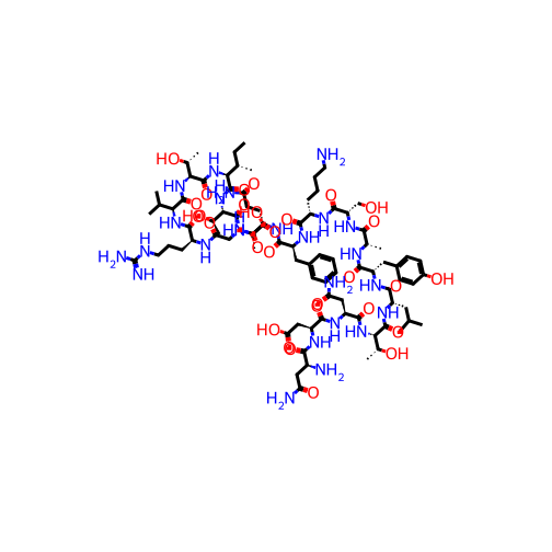 CC[C@H](C)[C@H](NC(=O)[C@@H](NC(=O)[C@@H](NC(=O)[C@H](CCCNC(=N)N)NC(=O)CNC(=O)[C@H](CCC(N)=O)NC(=O)[C@H](Cc1ccccc1)NC(=O)[C@H](CCCCN)NC(=O)[C@H](CO)NC(=O)[C@H](C)NC(=O)[C@H](Cc1ccc(O)cc1)NC(=O)[C@H](CC(C)C)NC(=O)[C@@H](NC(=O)[C@H](CC(N)=O)NC(=O)[C@H](CC(=O)O)NC(=O)[C@@H](N)CC(N)=O)[C@@H](C)O)C(C)C)[C@@H](C)O)C(=O)N[C@H](C(=O)N[C@@H](C)C(=O)O)[C@@H](C)O